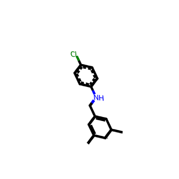 CC1=CC(CNc2ccc(Cl)cc2)=CC(C)[CH]1